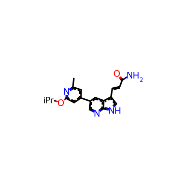 Cc1cc(-c2cnc3[nH]cc(/C=C/C(N)=O)c3c2)cc(OC(C)C)n1